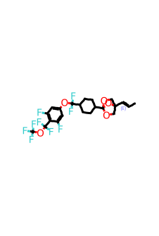 C/C=C/C12COC(C3CCC(C(F)(F)Oc4cc(F)c(C(F)(F)OC(F)(F)F)c(F)c4)CC3)(OC1)O2